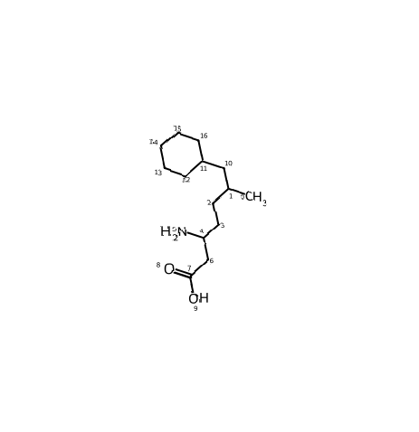 CC(CCC(N)CC(=O)O)CC1CCCCC1